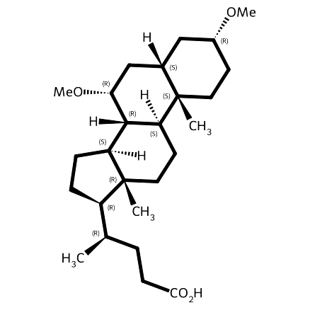 CO[C@@H]1CC[C@@]2(C)[C@@H](C1)C[C@@H](OC)[C@@H]1[C@@H]2CC[C@]2(C)[C@@H]([C@H](C)CCC(=O)O)CC[C@@H]12